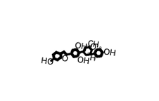 C[C@@]12C=C(c3c(O)cc(-c4cc5ccc(O)cc5o4)cc3O)C[C@@H](C1)c1ccc(O)cc1O2